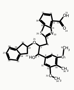 COc1cc(C(O)C(Cc2nc3c(C(=O)O)cccc3s2)OC2Cc3ccccc3C2)cc(OC)c1C